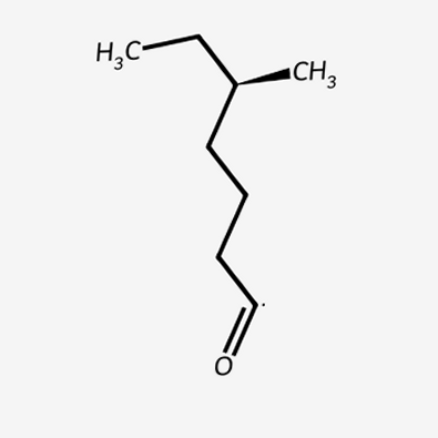 CC[C@@H](C)CCC[C]=O